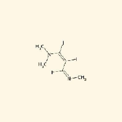 C/N=C(I)\C(I)=C(\I)N(C)C